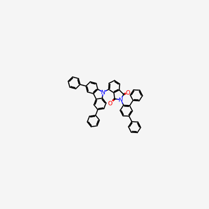 O=C1c2cccc(-n3c4ccc(-c5ccccc5)cc4c4cc(-c5ccccc5)ccc43)c2C(=O)N1c1ccc(-c2ccccc2)cc1-c1ccccc1